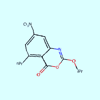 CCCc1cc([N+](=O)[O-])cc2nc(OC(C)C)oc(=O)c12